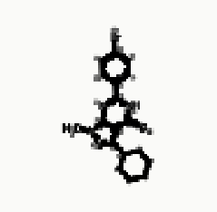 Cn1nc(C2CCCCC2)c2c(=O)[nH]c(-c3ccc(Br)cc3)nc21